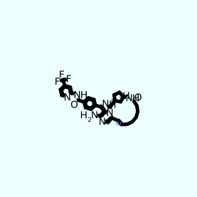 Nc1ncc2n3c(nc(-c4ccc(C(=O)Nc5cc(C(F)(F)F)ccn5)cc4)c13)[C@@H]1CC[C@H](C1)NC(=O)CCCCC/C=C/2